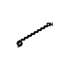 OCCCCCCCCCCCCCCCCN1CCSCC1